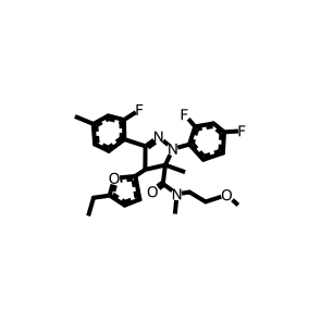 CCc1ccc(C2C(c3ccc(C)cc3F)=NN(c3ccc(F)cc3F)C2(C)C(=O)N(C)CCOC)o1